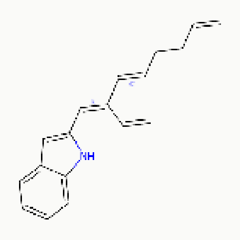 C=CCC/C=C/C(C=C)=C/c1cc2ccccc2[nH]1